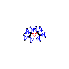 CN(C)C(N(C)C)C(OC(C(N(C)C)N(C)C)(N(C)C)N(C)C)(N(C)C)N(C)C